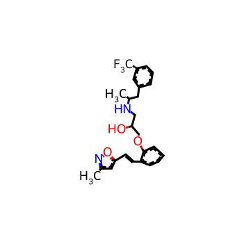 Cc1cc(C=Cc2ccccc2OCC(O)CNC(C)Cc2cccc(C(F)(F)F)c2)on1